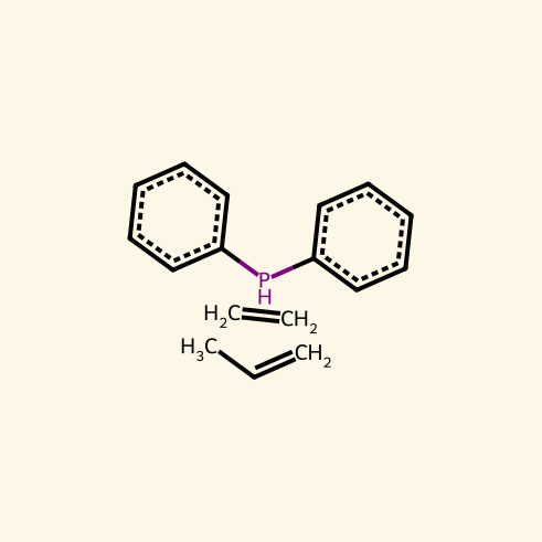 C=C.C=CC.c1ccc(Pc2ccccc2)cc1